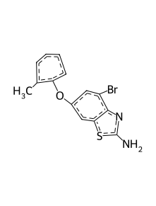 Cc1ccccc1Oc1cc(Br)c2nc(N)sc2c1